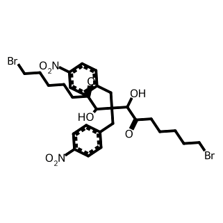 O=C(CCCCCBr)C(O)C(Cc1ccc([N+](=O)[O-])cc1)(Cc1ccc([N+](=O)[O-])cc1)C(O)C(=O)CCCCCBr